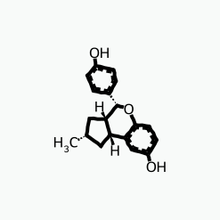 C[C@@H]1C[C@H]2[C@@H](C1)c1cc(O)ccc1O[C@H]2c1ccc(O)cc1